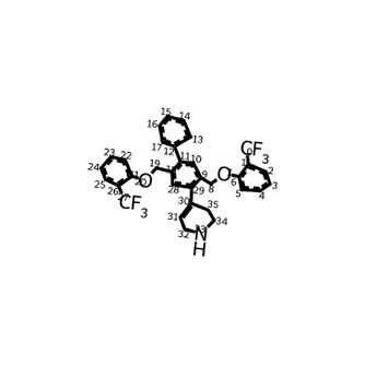 FC(F)(F)c1ccccc1OCc1cc(-c2ccccc2)c(COc2ccccc2C(F)(F)F)cc1C1=CCNCC1